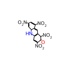 O=C1C([N+](=O)[O-])=CC2=C(C=C3C([N+](=O)[O-])=CC([N+](=O)[O-])=CC3N2)C1[N+](=O)[O-]